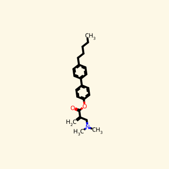 C=C(CN(C)C)C(=O)Oc1ccc(-c2ccc(CCCCC)cc2)cc1